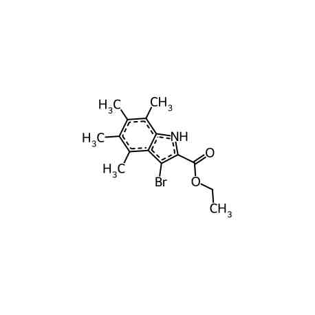 CCOC(=O)c1[nH]c2c(C)c(C)c(C)c(C)c2c1Br